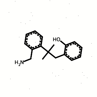 CC(C)(Cc1ccccc1O)c1ccccc1CN